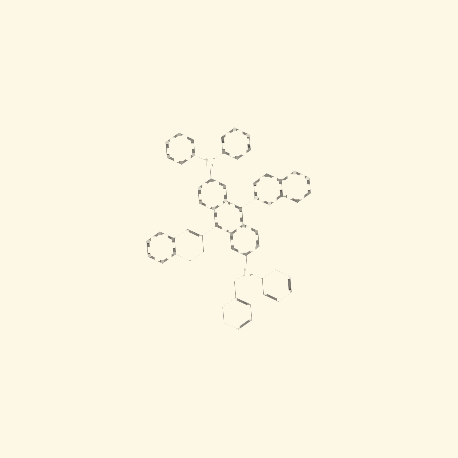 C1=CCCC(CN(c2ccc3c(-c4ccc5ccccc5c4)c4cc(N(c5ccccc5)c5ccccc5)ccc4c(C4=Cc5ccccc5CC4)c3c2)C2C=CC=CC2)=C1